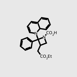 CCOC(=O)CC1CN(C(=O)O)C1(c1ccccc1)N1C=CC=C2C=CC=CC21